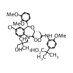 COc1ccc(C(C)(C)C(=O)O)cc1NC(=O)C[C@H]1O[C@H](c2cccc(OC)c2OC)c2cc(Cl)ccc2N(CC(C)(C)CO)C1=O